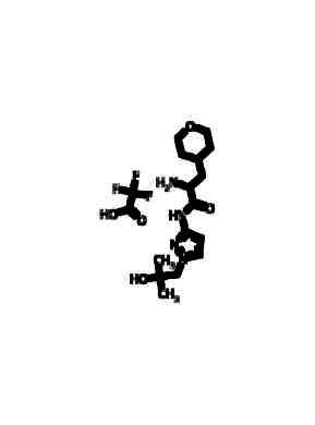 CC(C)(O)Cn1ccc(NC(=O)C(N)CC2CCOCC2)n1.O=C(O)C(F)(F)F